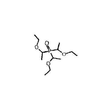 CCOC(C)P(=O)(C(C)OCC)C(C)OCC